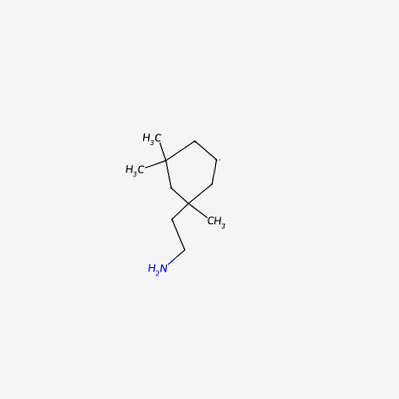 CC1(C)C[CH]CC(C)(CCN)C1